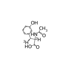 [2H][C@@H](c1cccc(O)c1)[C@]([2H])(NC(C)=O)C(=O)O